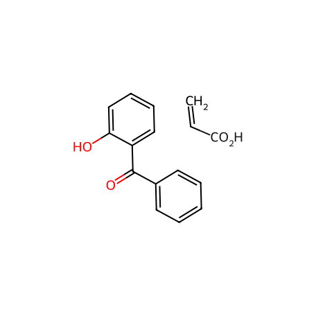 C=CC(=O)O.O=C(c1ccccc1)c1ccccc1O